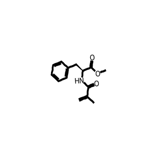 C=C(C)C(=O)N[C@@H](Cc1ccccc1)C(=O)OC